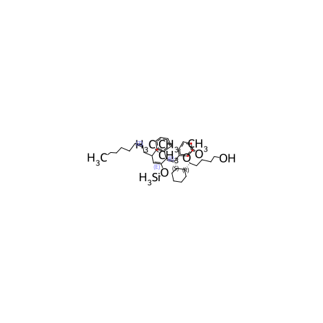 CCCCC/C=C\CC(/C=C(O[SiH3])\C(=C(\c1ccccc1)[C@H]1CCCC[C@H]1C(CCCCO)OC(C)=O)c1ccccc1)C(C)(C)C